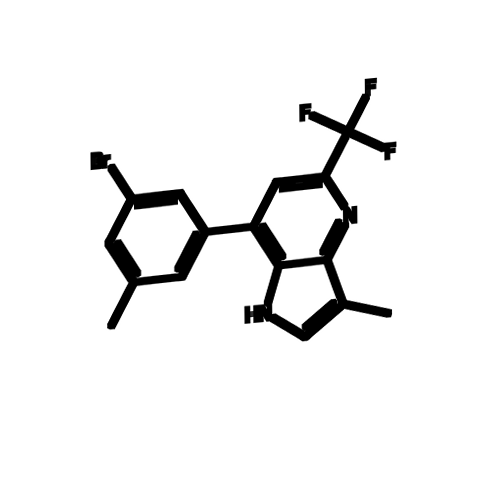 Cc1cc(Br)cc(-c2cc(C(F)(F)F)nc3c(C)c[nH]c23)c1